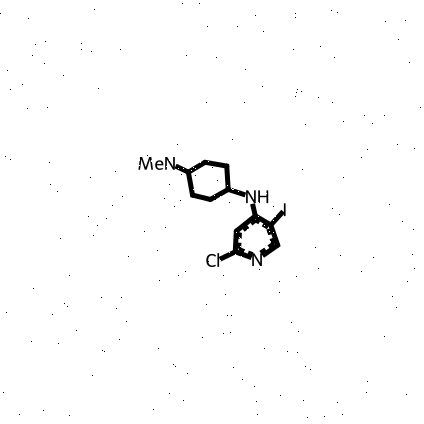 CNC1CCC(Nc2cc(Cl)ncc2I)CC1